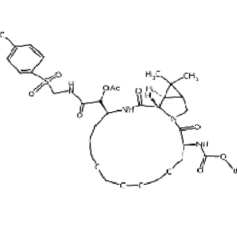 CC(=O)OC(C(=O)NCS(=O)(=O)c1ccc(C)cc1)[C@@H]1CCCCCCCCCC[C@H](NC(=O)OC(C)(C)C)C(=O)N2CC3[C@@H]([C@H]2C(=O)N1)C3(C)C